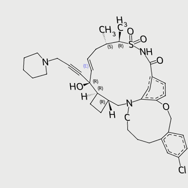 C[C@@H]1[C@@H](C)C/C=C/[C@@](O)(C#CCN2CCCCC2)[C@@H]2CC[C@H]2CN2CCCCc3cc(Cl)ccc3COc3ccc(cc32)C(=O)NS1(=O)=O